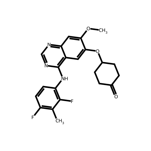 COc1cc2ncnc(Nc3ccc(F)c(C)c3F)c2cc1OC1CCC(=O)CC1